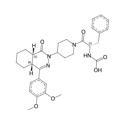 COc1ccc(C2=NN(C3CCN(C(=O)[C@H](Cc4ccccc4)NC(=O)O)CC3)C(=O)[C@H]3CCCC[C@@H]23)cc1OC